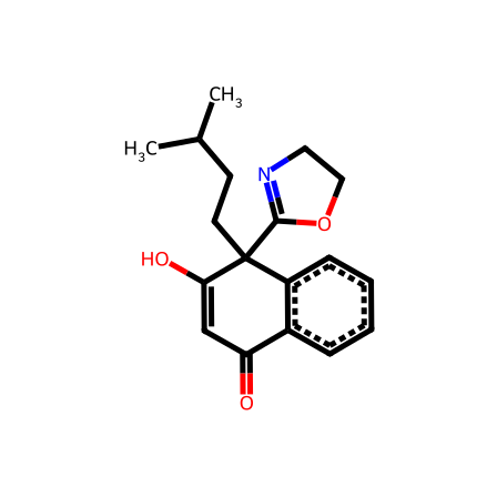 CC(C)CCC1(C2=NCCO2)C(O)=CC(=O)c2ccccc21